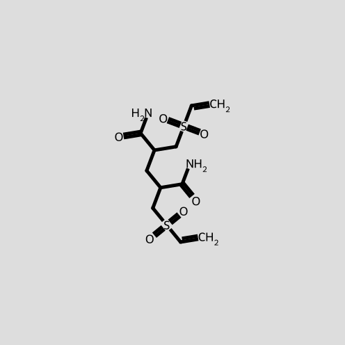 C=CS(=O)(=O)CC(CC(CS(=O)(=O)C=C)C(N)=O)C(N)=O